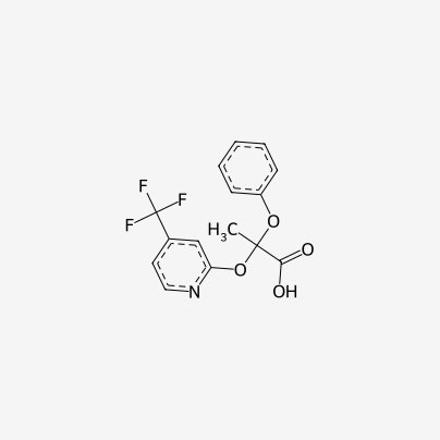 CC(Oc1ccccc1)(Oc1cc(C(F)(F)F)ccn1)C(=O)O